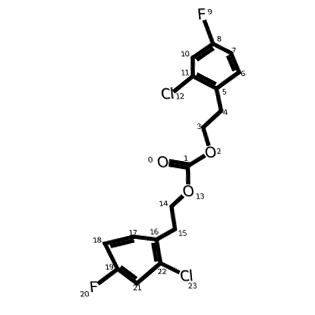 O=C(OCCc1ccc(F)cc1Cl)OCCc1ccc(F)cc1Cl